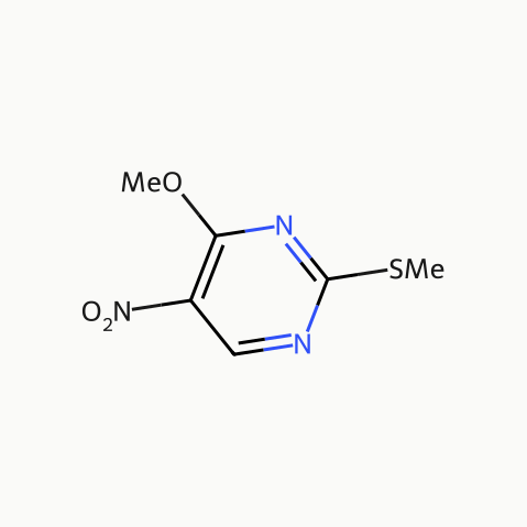 COc1nc(SC)ncc1[N+](=O)[O-]